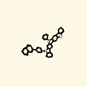 c1ccc(-n2c3cc4c(cc3c3cc5c6ccccc6n(-c6ccc(-c7ccc8ccccc8c7)cc6)c5cc32)oc2ccccc24)cc1